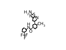 Cc1ccc(C(=O)Nc2cccc(C(F)(F)F)c2)cc1-c1cnc2sc(N)nc2c1